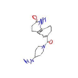 NC1CCN(C(=O)c2ccc3c(c2)CCC(=O)N3)CC1